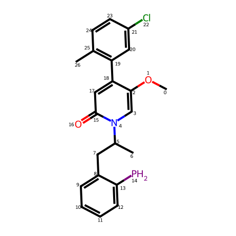 COc1cn(C(C)Cc2ccccc2P)c(=O)cc1-c1cc(Cl)ccc1C